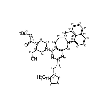 CN1CCC[C@H]1COc1nc2c(c(N3CCN(C(=O)OC(C)(C)C)C(CC#N)C3)n1)CCCN(c1cccc3cccc(F)c13)C2